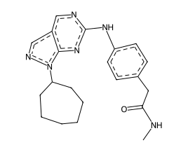 CNC(=O)Cc1ccc(Nc2ncc3cnn(C4CCCCCC4)c3n2)cc1